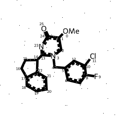 COc1cn(Cc2ccc(F)c(Cl)c2)c(C2CCc3ccccc32)nc1=O